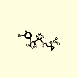 O=c1onc(-c2nonc2NCCC2(N[SH](=O)=O)CC2)n1-c1ccc(F)c(Br)c1